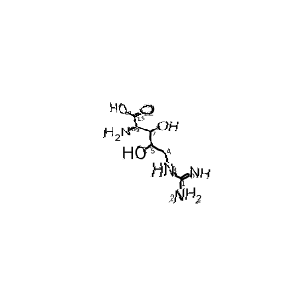 N=C(N)NCC(O)C(O)C(N)C(=O)O